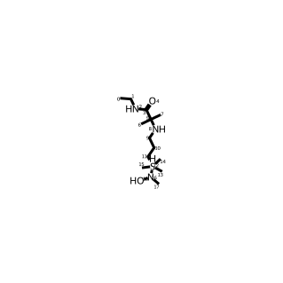 CCNC(=O)C(C)(C)NCCC[SH](C)(C)(C)N(C)O